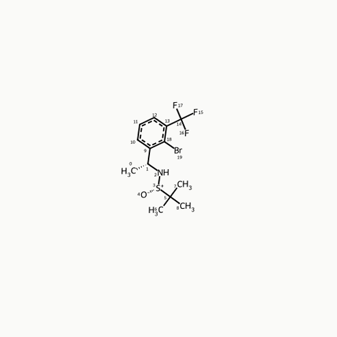 C[C@@H](N[S@@+]([O-])C(C)(C)C)c1cccc(C(F)(F)F)c1Br